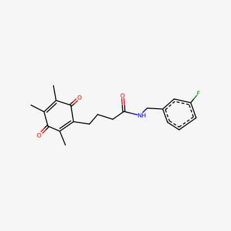 CC1=C(C)C(=O)C(CCCC(=O)NCc2cccc(F)c2)=C(C)C1=O